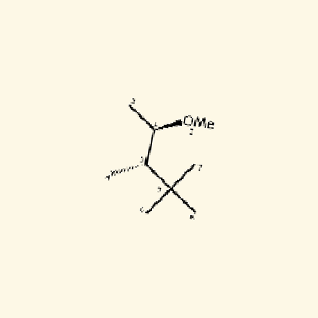 CO[C@H](C)[C@@H](C)C(C)(C)C